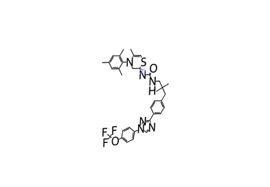 CC1=CS/C(=N\C(=O)NCC(C)(C)Cc2ccc(-c3ncn(-c4ccc(OC(F)(F)F)cc4)n3)cc2)CN1c1c(C)cc(C)cc1C